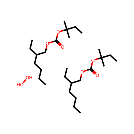 CCCCC(CC)COC(=O)OC(C)(C)CC.CCCCC(CC)COC(=O)OC(C)(C)CC.OO